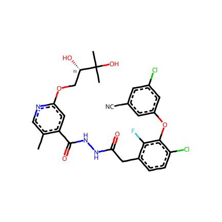 Cc1cnc(OC[C@H](O)C(C)(C)O)cc1C(=O)NNC(=O)Cc1ccc(Cl)c(Oc2cc(Cl)cc(C#N)c2)c1F